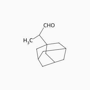 CC(C=O)C12CC3CC(CC(C3)C1)C2